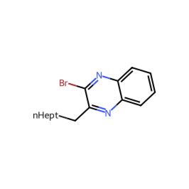 CCCCCCCCc1nc2ccccc2nc1Br